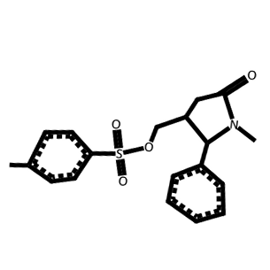 Cc1ccc(S(=O)(=O)OCC2CC(=O)N(C)C2c2ccccc2)cc1